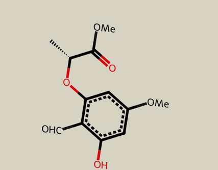 COC(=O)[C@@H](C)Oc1cc(OC)cc(O)c1C=O